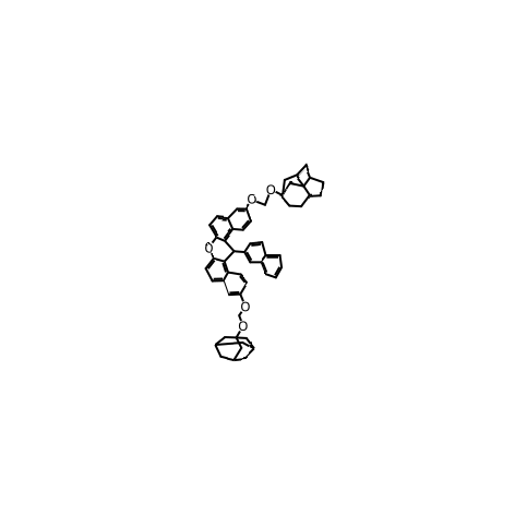 c1ccc2cc(C3c4c(ccc5cc(OCOC67CC8CC(CC(C8)C6)C7)ccc45)Oc4ccc5cc(OCOC67CCC8CCC9CC(C6)C89C7)ccc5c43)ccc2c1